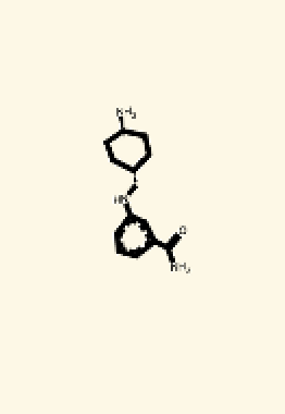 NC(=O)c1cccc(NC[C@H]2CC[C@H](N)CC2)c1